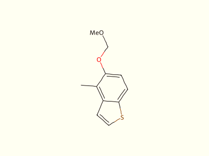 COCOc1ccc2sccc2c1C